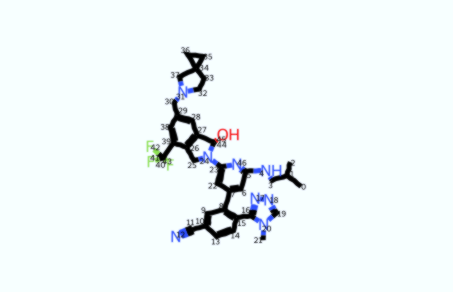 CC(C)CNc1cc(-c2cc(C#N)ccc2-c2nncn2C)cc(N2Cc3c(cc(CN4CCC5(CC5)C4)cc3C(F)(F)F)C2O)n1